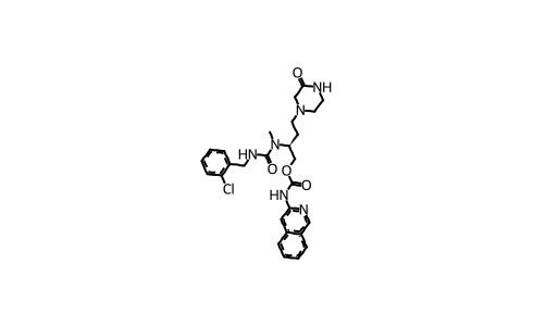 CN(C(=O)NCc1ccccc1Cl)[C@@H](CCN1CCNC(=O)C1)COC(=O)Nc1cc2ccccc2cn1